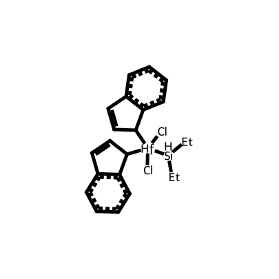 CC[SiH](CC)[Hf]([Cl])([Cl])([CH]1C=Cc2ccccc21)[CH]1C=Cc2ccccc21